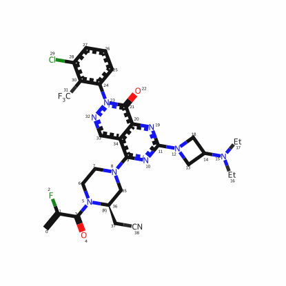 C=C(F)C(=O)N1CCN(c2nc(N3CC(N(CC)CC)C3)nc3c(=O)n(-c4cccc(Cl)c4C(F)(F)F)ncc23)C[C@H]1CC#N